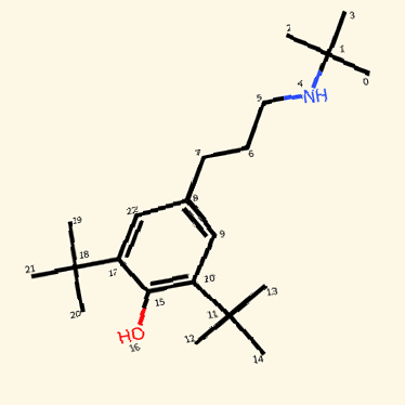 CC(C)(C)NCCCc1cc(C(C)(C)C)c(O)c(C(C)(C)C)c1